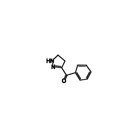 O=C(C1=NNCC1)c1ccccc1